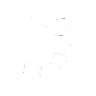 OCc1ccnc(Nc2ncn(-c3ccccc3)n2)c1